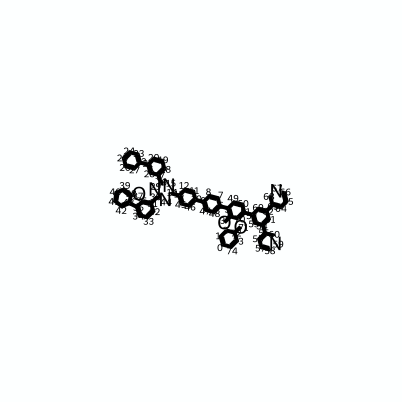 C1=CC2Oc3c(-c4ccc(-c5ccc(-c6nc(-c7cccc(-c8ccccc8)c7)nc(-c7cccc8c7oc7ccccc78)n6)cc5)cc4)ccc(-c4cc(-c5cccnc5)cc(-c5cccnc5)c4)c3OC2C=C1